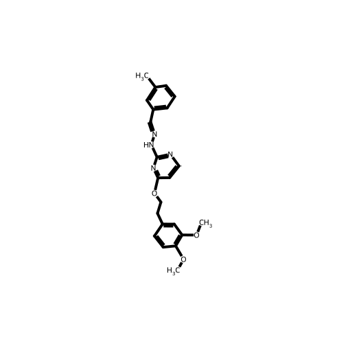 COc1ccc(CCOc2c[c]nc(N/N=C/c3cccc(C)c3)n2)cc1OC